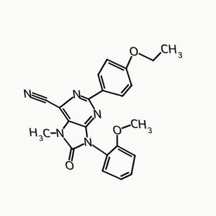 CCOc1ccc(-c2nc(C#N)c3c(n2)n(-c2ccccc2OC)c(=O)n3C)cc1